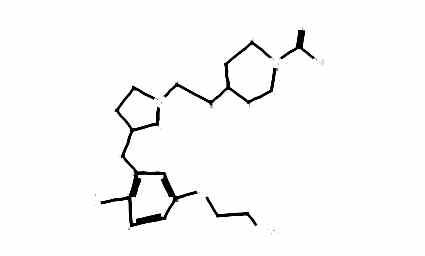 COCCOc1ccc(Br)c(CC2CCN(CCC3CCN(C(N)=O)CC3)C2)c1